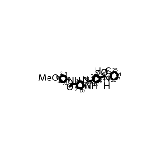 COc1ccc(NC(=O)c2ccc3[nH]c(-c4ccc(C(=O)NC5CCCCC5C)cc4)nc3c2)cc1